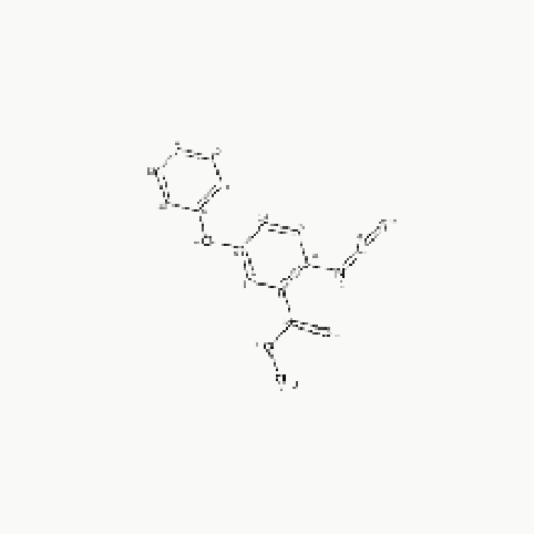 COC(=O)c1cc(Oc2ccccc2)ccc1N=C=S